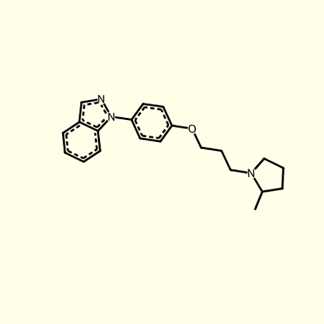 CC1CCCN1CCCOc1ccc(-n2ncc3ccccc32)cc1